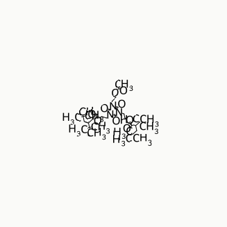 CC(=O)OCCn1c(=O)n(CCOC(=O)C(CC(C)(C)C)C(C)(C)C)c(=O)n(CCOC(=O)C(CC(C)(C)C)C(C)(C)C)c1=O